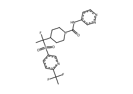 CC(F)(F)c1ccc(S(=O)(=O)C(C)(F)C2CCN(C(=O)Nc3ccnnc3)CC2)cn1